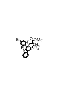 COC(=O)[C@@H](C)CN1[C@H](c2c(F)cc(Br)cc2F)c2[nH]c3ccccc3c2C[C@H]1C